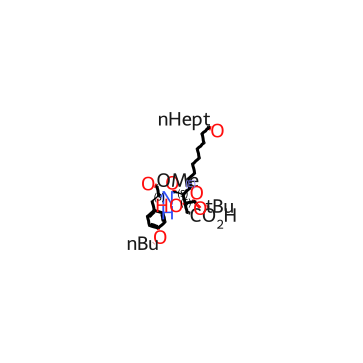 CCCCCCCC(=O)CCCCCC/C=C/[C@H](C(=O)N[C@@H](Cc1ccc(OCCCC)cc1)C(=O)OC)[C@@](O)(CC(=O)O)C(=O)OC(C)(C)C